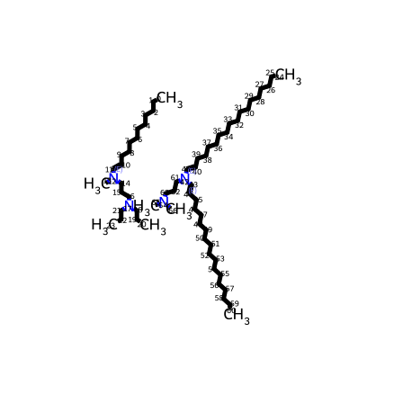 CCCCCCCCCC/C=C/N(C)CCCN(CCC)CCC.CCCCCCCCCCCCCCCC/C=C/N(/C=C/CCCCCCCCCCCCCCCC)CCCN(C)C